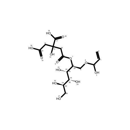 C=CC(O)OC[C@H](OC(=O)CC(O)(CC(=O)O)C(=O)O)[C@@H](O)[C@H](O)[C@H](O)CO